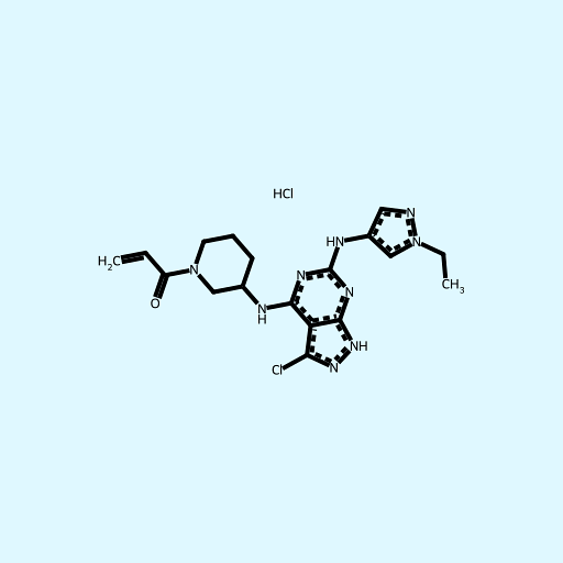 C=CC(=O)N1CCCC(Nc2nc(Nc3cnn(CC)c3)nc3[nH]nc(Cl)c23)C1.Cl